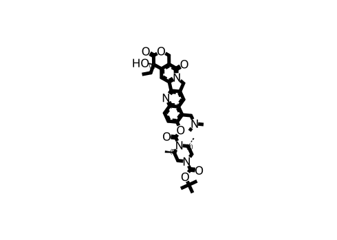 CC[C@@]1(O)C(=O)OCc2c1cc1n(c2=O)Cc2cc3c(CN(C)C)c(OC(=O)N4[C@H](C)CN(C(=O)OC(C)(C)C)C[C@H]4C)ccc3nc2-1